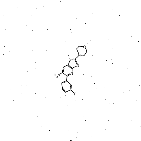 O=[N+]([O-])c1cc2sc(N3CCOCC3)nc2nc1-c1cccc(F)c1